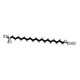 CCN(CC)CCCCCCCCCCCCCCCCCCO[C]=O